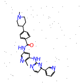 Cc1ncc(NC(=O)c2ccc(C3CCN(C)CC3)cc2)cc1Nc1nccc(-c2cccnc2)n1